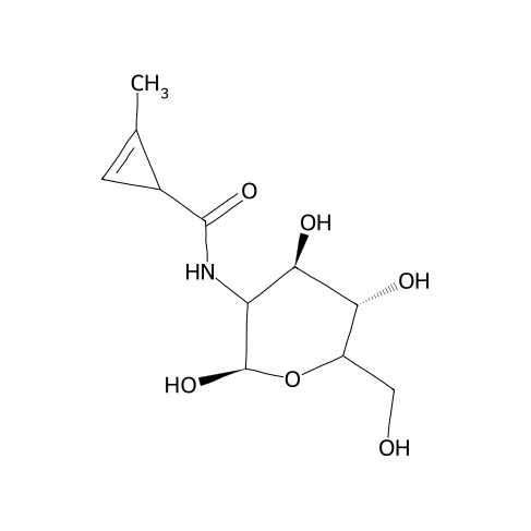 CC1=CC1C(=O)NC1[C@H](O)OC(CO)[C@@H](O)[C@@H]1O